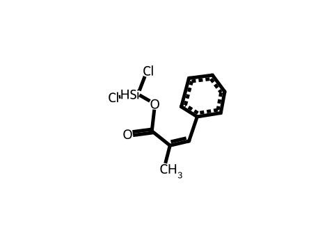 CC(=Cc1ccccc1)C(=O)O[SiH](Cl)Cl